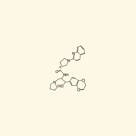 O=C(NC(CN1CCCC1)C(O)c1ccc2c(c1)OCCO2)[C@@H]1CCN(c2ccc3ccccc3n2)C1